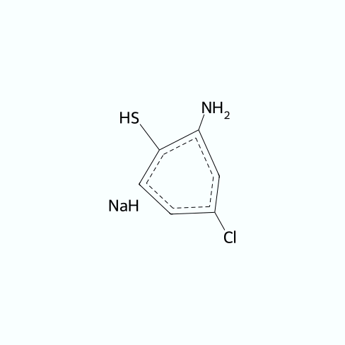 Nc1cc(Cl)ccc1S.[NaH]